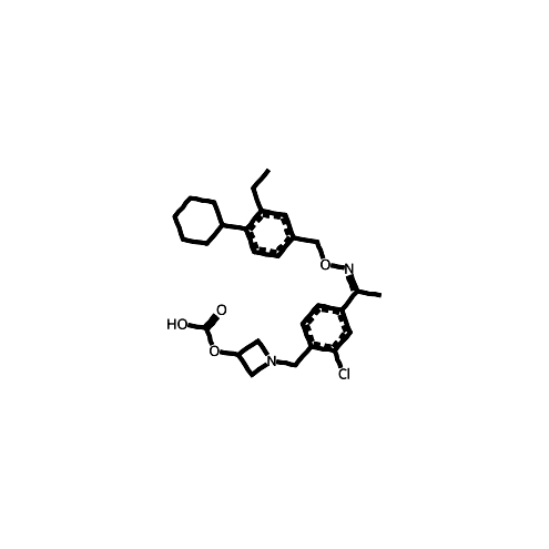 CCc1cc(CON=C(C)c2ccc(CN3CC(OC(=O)O)C3)c(Cl)c2)ccc1C1CCCCC1